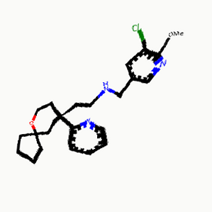 COc1ncc(CNCC[C@]2(c3ccccn3)CCOC3(CCCC3)C2)cc1Cl